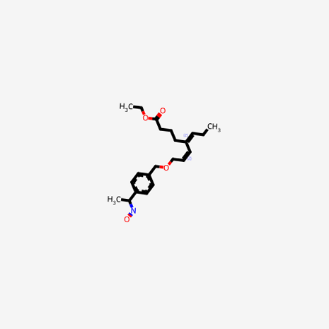 CC/C=C(\C=C/COCc1ccc(C(C)N=O)cc1)CCCC(=O)OCC